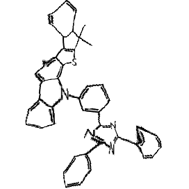 CC1(C)c2sc3c(ccc4c5ccccc5n(-c5cccc(-c6nc(-c7ccccc7)nc(-c7ccccc7)n6)c5)c43)c2C2C=CC=CC21